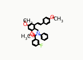 COc1ccc(C=Cc2cc(OC)cc(OC)c2CN(C(=O)c2cccc(F)c2)c2ccccc2)cc1